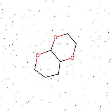 C1COC2OCCOC2C1